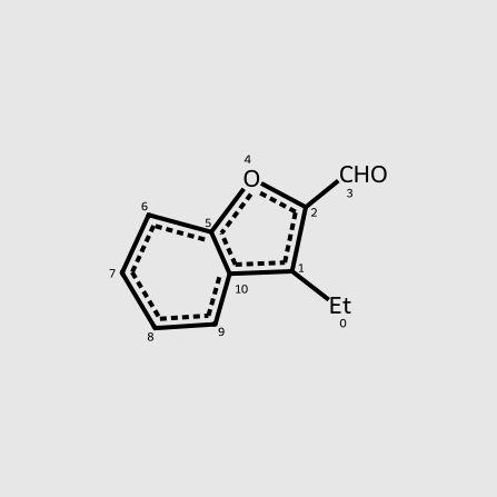 CCc1c(C=O)oc2ccccc12